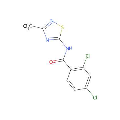 O=C(Nc1nc(C(Cl)(Cl)Cl)ns1)c1ccc(Cl)cc1Cl